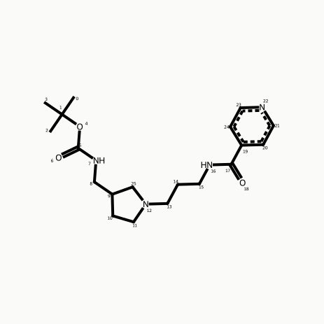 CC(C)(C)OC(=O)NCC1CCN(CCCNC(=O)c2ccncc2)C1